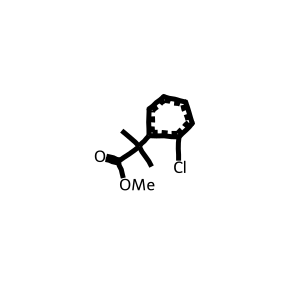 COC(=O)C(C)(C)c1ccccc1Cl